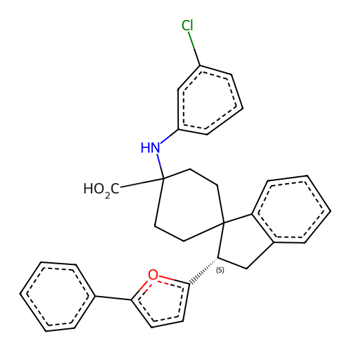 O=C(O)C1(Nc2cccc(Cl)c2)CCC2(CC1)c1ccccc1C[C@@H]2c1ccc(-c2ccccc2)o1